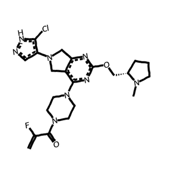 C=C(F)C(=O)N1CCN(c2nc(OC[C@@H]3CCCN3C)nc3c2CN(c2cn[nH]c2Cl)C3)CC1